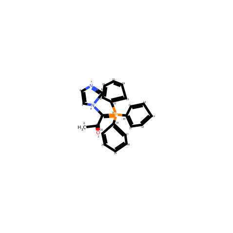 CC(=O)C(n1ccnc1)=P(c1ccccc1)(c1ccccc1)c1ccccc1